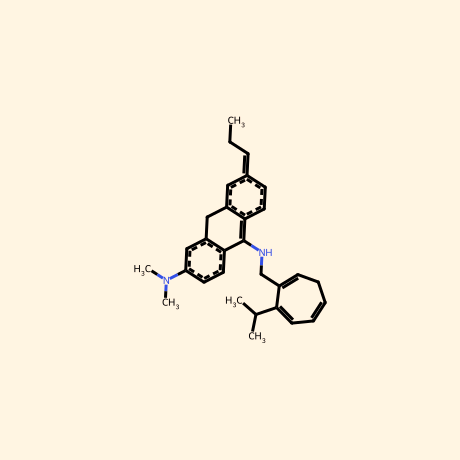 CC/C=c1/ccc2c(c1)Cc1cc(N(C)C)ccc1C=2NCC1=CCC=CC=C1C(C)C